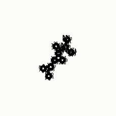 c1ccc(-n2c3ccccc3c3cc(-c4ccc5c(c4)c4ccccc4c4cc6c(cc54)c4ccccc4n6-c4nc(-c5cccnc5)cc(-c5cccnc5)n4)ccc32)cc1